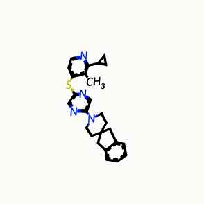 Cc1c(Sc2cnc(N3CCC4(CC3)Cc3ccccc3C4)cn2)ccnc1C1CC1